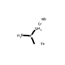 BP(C)[SiH3].[Cr].[Fe].[Nb]